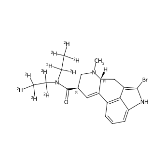 [2H]C([2H])([2H])C([2H])([2H])N(C(=O)[C@@H]1C=C2c3cccc4[nH]c(Br)c(c34)C[C@H]2N(C)C1)C([2H])([2H])C([2H])([2H])[2H]